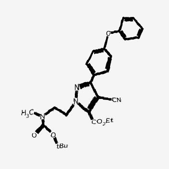 CCOC(=O)c1c(C#N)c(-c2ccc(Oc3ccccc3)cc2)nn1CCN(C)C(=O)OC(C)(C)C